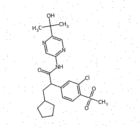 CC(C)(O)c1cnc(NC(=O)C(CC2CCCC2)c2ccc(S(C)(=O)=O)c(Cl)c2)cn1